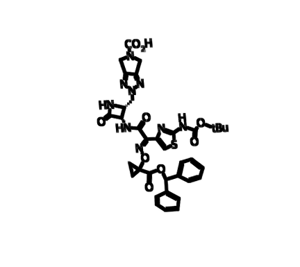 CC(C)(C)OC(=O)Nc1nc(C(=NOC2(C(=O)OC(c3ccccc3)c3ccccc3)CC2)C(=O)N[C@@H]2C(=O)N[C@@H]2Cn2nc3c(n2)CN(C(=O)O)C3)cs1